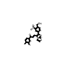 Cc1ccc(C(=O)/C=C/c2c(-c3ccc(CO)c([N+](=O)[O-])c3)nc3sccn23)cc1C